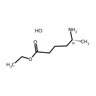 CCOC(=O)CCC[C@@H](C)N.Cl